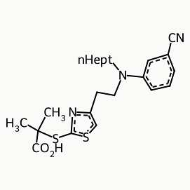 CCCCCCCN(CCc1csc(SC(C)(C)C(=O)O)n1)c1cccc(C#N)c1